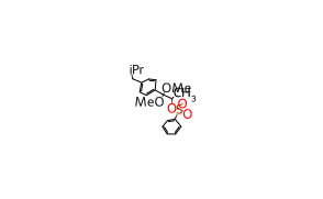 COC(OC)(c1ccc(CC(C)C)cc1)C(C)OS(=O)(=O)c1ccccc1